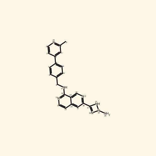 Cc1cc(-c2ccc(CNc3nccc4cc(-c5nn(N)[nH]5)ncc34)cc2)ccn1